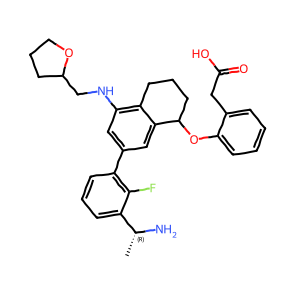 C[C@@H](N)c1cccc(-c2cc(NCC3CCCO3)c3c(c2)C(Oc2ccccc2CC(=O)O)CCC3)c1F